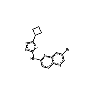 Brc1cnc2ccc(Nc3nnc(C4CCC4)s3)nc2c1